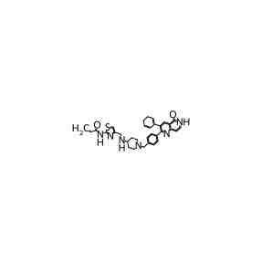 C=CC(=O)Nc1nc(CNC2CCN(Cc3ccc(-c4nc5cc[nH]c(=O)c5cc4C4=CCCC=C4)cc3)CC2)cs1